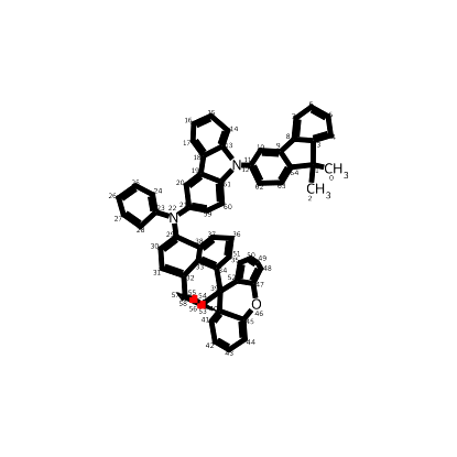 CC1(C)c2ccccc2-c2cc(-n3c4ccccc4c4cc(N(c5ccccc5)c5ccc6c7c(cccc57)C5(c7ccccc7Oc7ccccc75)c5ccccc5-6)ccc43)ccc21